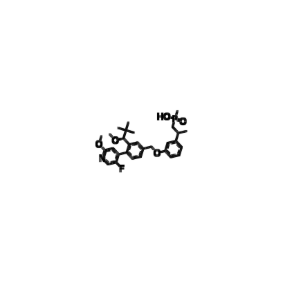 COc1cc(-c2ccc(COc3cccc(C(C)CP(C)(=O)O)c3)cc2[C@@H](OC)C(C)(C)C)c(F)cn1